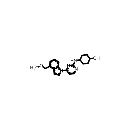 COCc1cccc2c1ccn2-c1ccnc(NC2CCC(O)CC2)n1